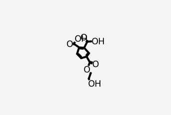 O=C(OCCO)c1ccc(C(=O)O)c(C(=O)O)c1